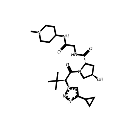 CN1CCC(NC(=O)CNC(=O)[C@@H]2C[C@@H](O)CN2C(=O)[C@@H](n2cc(C3CC3)nn2)C(C)(C)C)CC1